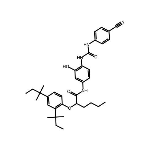 CCCCC(Oc1ccc(C(C)(C)CC)cc1C(C)(C)CC)C(=O)Nc1ccc(NC(=O)Nc2ccc(C#N)cc2)c(O)c1